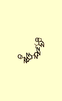 CC(CN(C)c1cc(-c2cnc3c(cnn3C3COC3)c2)ncn1)c1cncc2c1OCC2